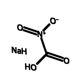 O=C(O)[N+](=O)[O-].[NaH]